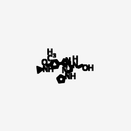 Cc1cc(-c2cnn3c(NCCO)cc(NC4CCCC4)nc23)ccc1C(=O)NC1CC1